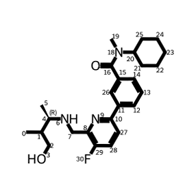 CC(CO)[C@@H](C)NCc1nc(-c2cccc(C(=O)N(C)C3CCCCC3)c2)ccc1F